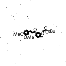 COc1ccc(C=CC(=O)c2ccc(F)c(OCC(=O)OC(C)(C)C)c2)cc1OC